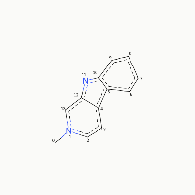 Cn1c[c]c2c3ccccc3nc-2c1